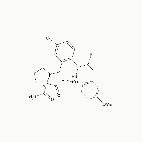 COc1ccc(NC(c2ccc(Cl)cc2CN2CCC[C@]2(C(N)=O)C(=O)OC(C)(C)C)C(F)F)cc1